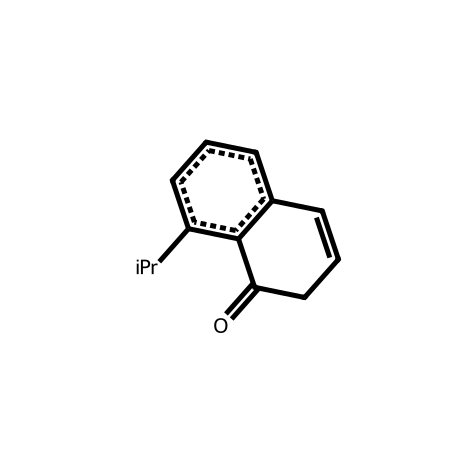 CC(C)c1cccc2c1C(=O)CC=C2